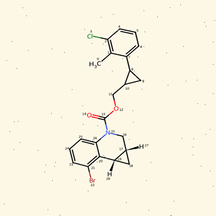 Cc1c(Cl)cccc1C1CC1COC(=O)N1C[C@@H]2C[C@@H]2c2c(Br)cccc21